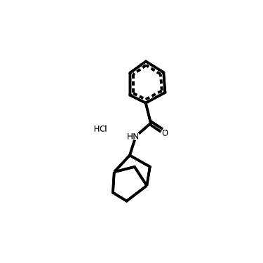 Cl.O=C(NC1CC2CCC1C2)c1ccccc1